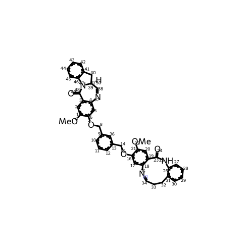 COc1cc2c(cc1OCc1cccc(COc3cc4c(cc3OC)C(=O)Nc3ccccc3CC/C=N\4)c1)N=C[C@@H]1Cc3ccccc3N1C2=O